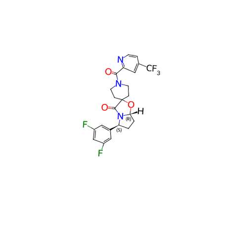 O=C(c1cc(C(F)(F)F)ccn1)N1CCC2(CC1)O[C@@H]1CC[C@@H](c3cc(F)cc(F)c3)N1C2=O